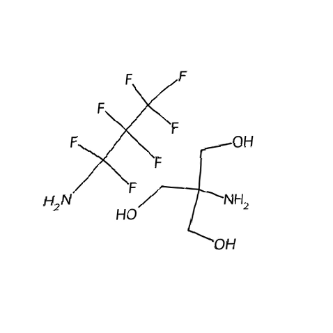 NC(CO)(CO)CO.NC(F)(F)C(F)(F)C(F)(F)F